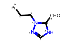 CC(C)CCN1N=CNC1C=O